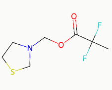 CC(F)(F)C(=O)OCN1CCSC1